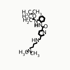 C=C(Nc1ccccc1NC(=O)c1ccc(CNCCCCN(C)C)cn1)OC(C)(C)C